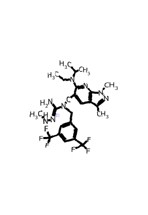 CCN(c1nc2c(cc1CN(Cc1cc(C(F)(F)F)cc(C(F)(F)F)c1)/C(N)=N/NC)c(C)nn2C)C(C)C